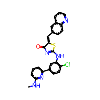 CNc1cccc(-c2ccc(Cl)c(NC3=NC(=O)/C(=C/c4ccc5ncccc5c4)S3)c2)n1